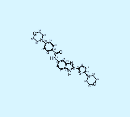 O=C(Nc1ccc2[nH]c(-c3ccc(N4CCOCC4)s3)nc2c1)c1ccc(N2CCOCC2)cc1